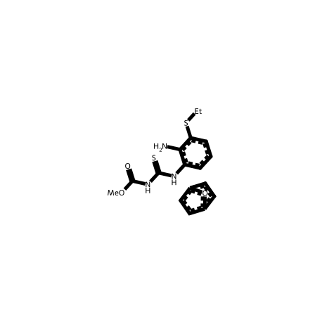 CCSc1cccc(NC(=S)NC(=O)OC)c1N.c1cc2ccc1o2